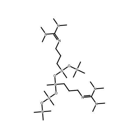 CN(C)C(=NCCC[Si](C)(O[Si](C)(C)C)O[Si](C)(CCCN=C(N(C)C)N(C)C)O[Si](C)(C)O[Si](C)(C)C)N(C)C